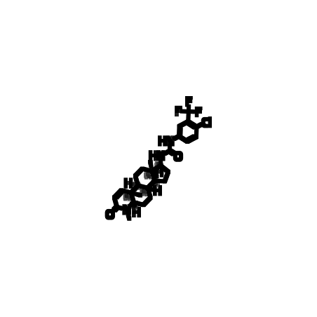 CN1C(=O)C=C[C@]2(C)[C@H]3CC[C@]4(C)[C@@H](NC(=O)Nc5ccc(Cl)c(C(F)(F)F)c5)CC[C@H]4[C@@H]3CC[C@@H]12